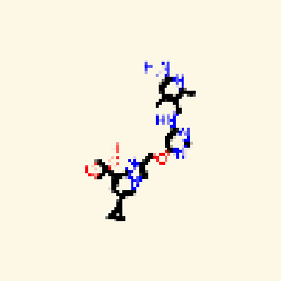 Cc1cc(N)nc(C)c1CNc1cc(OCc2cn3cc(C4CC4)cc(C4(O)COC4)c3n2)ncn1